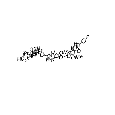 COc1cc2c(cc1OCCCOc1cc3c(cc1OC)C(=O)N1C=C(c4ccc(NC(=O)[C@H](C)NC(=O)[C@@H](NC(=O)O)C(C)C)cc4)C[C@H]1C=N3)N=C[C@@H]1CC(c3ccc(F)cc3)=CN1C2=O